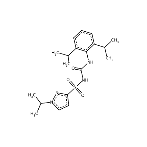 CC(C)c1cccc(C(C)C)c1NC(=O)NS(=O)(=O)c1ccn(C(C)C)n1